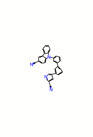 N#Cc1cncc(-c2cccc(-c3cccc(-n4c5ccccc5c5cc(C#N)ccc54)c3)c2)c1